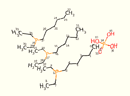 CCCCCCP(CC)CC.CCCCCCP(CC)CC.CCCCCCP(CC)CC.O=P(O)(O)O